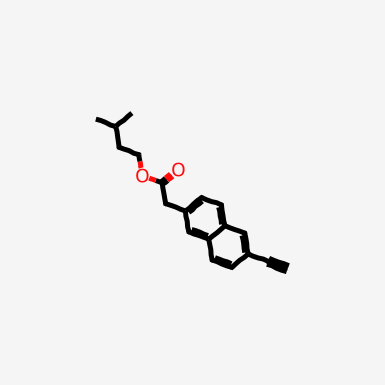 C#Cc1ccc2cc(CC(=O)OCCC(C)C)ccc2c1